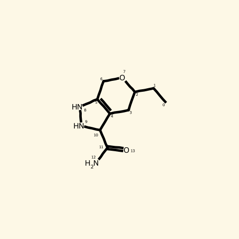 CCC1CC2=C(CO1)NNC2C(N)=O